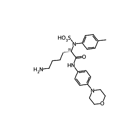 Cc1ccc(N([C@@H](CCCCN)C(=O)Nc2ccc(N3CCOCC3)cc2)S(=O)(=O)O)cc1